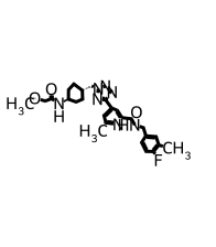 COCC(=O)N[C@H]1CC[C@H](Cn2nnc(-c3cc(C)nc(C(=O)NCc4ccc(F)c(C)c4)c3)n2)CC1